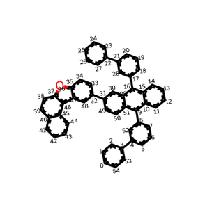 c1ccc(-c2cccc(-c3c4ccccc4c(-c4cccc(-c5ccccc5)c4)c4cc(-c5ccc6oc7ccc8ccccc8c7c6c5)ccc34)c2)cc1